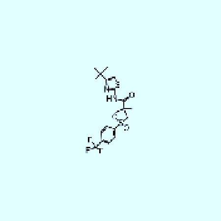 CC(C)(CS(=O)(=O)c1ccc(C(F)(F)F)cc1)C(=O)Nc1nc(C(C)(C)C)cs1